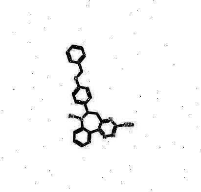 CSc1nnc2c(n1)CC(c1ccc(OCc3ccccc3)cc1)N(C(C)=O)c1ccccc1-2